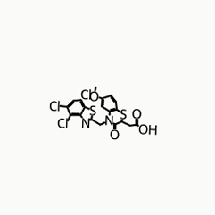 COc1ccc2c(c1)N(Cc1nc3c(Cl)c(Cl)cc(Cl)c3s1)C(=O)C(CC(=O)O)S2